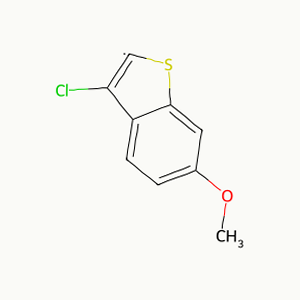 COc1ccc2c(Cl)[c]sc2c1